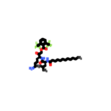 CCCCCCCCCCCC(=O)N[C@@H](CC(C)C)C(=O)N[C@@H](CCCCN)C(=O)COC(=O)c1c(C(F)(F)F)cccc1C(F)(F)F